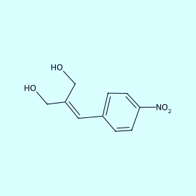 O=[N+]([O-])c1ccc(C=C(CO)CO)cc1